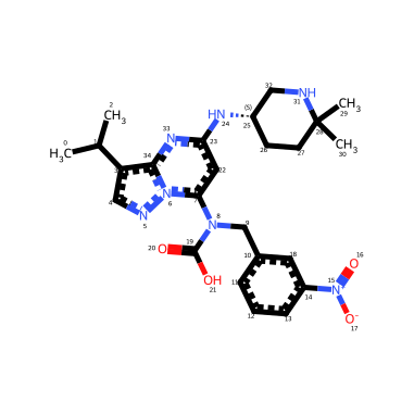 CC(C)c1cnn2c(N(Cc3cccc([N+](=O)[O-])c3)C(=O)O)cc(N[C@H]3CCC(C)(C)NC3)nc12